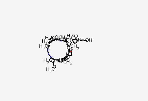 COCCO[C@@H]1C[C@@H]2CC[C@@H](C)[C@@](O)(O2)C(=O)C(=O)N2CCCC[C@H]2C(=O)O[C@H](C(C)C[C@@H]2CC[C@@H](OCCCO)[C@H](OC)C2)CC(=O)[C@H](C)/C=C(\C)[C@@H](O)[C@@H](OC)C(=O)[C@H](C)C[C@H](C)/C=C/C=C/C=C/1C